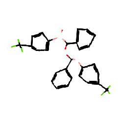 OB(c1ccc(C(F)(F)F)cc1)C(OC(B(O)c1ccc(C(F)(F)F)cc1)c1ccccc1)c1ccccc1